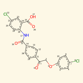 O=C(COc1ccc(Cl)cc1)c1ccc(C(=O)Nc2ccc(Cl)cc2C(=O)O)cc1